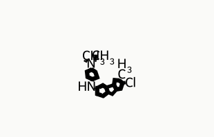 CCN(CC)c1ccc(Nc2ccc3c(c2)-c2cc(C)c(Cl)cc2C3)cc1